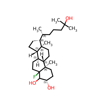 C[C@H](CCCC(C)(C)O)[C@H]1CC[C@H]2[C@@H]3CCC4(F)C(O)[C@@H](O)CC[C@]4(C)[C@H]3CC[C@]12C